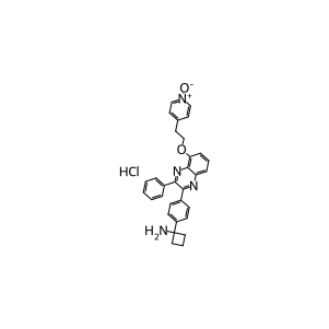 Cl.NC1(c2ccc(-c3nc4cccc(OCCc5cc[n+]([O-])cc5)c4nc3-c3ccccc3)cc2)CCC1